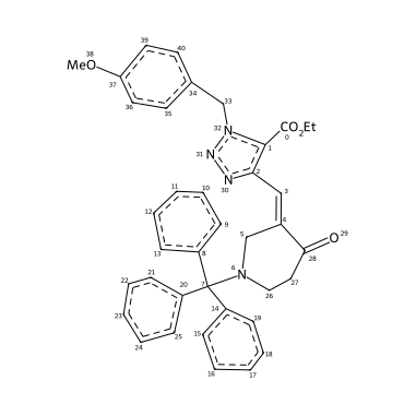 CCOC(=O)c1c(/C=C2\CN(C(c3ccccc3)(c3ccccc3)c3ccccc3)CCC2=O)nnn1Cc1ccc(OC)cc1